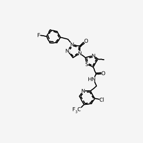 Cc1nc(-n2cnn(Cc3ccc(F)cc3)c2=O)sc1C(=O)NCc1ncc(C(F)(F)F)cc1Cl